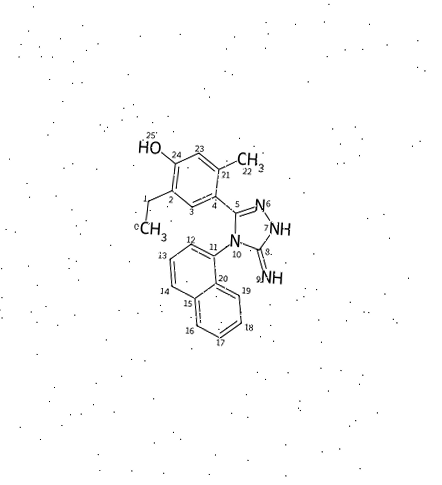 CCc1cc(-c2n[nH]c(=N)n2-c2cccc3ccccc23)c(C)cc1O